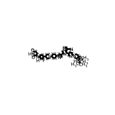 CCC1(C(=O)NC(C)(C)C)CCN(c2ccc(-c3nc(-c4cnn(C5CCC(N6CCC(c7ccc(N[C@@H]8CCC(=O)NC8=O)cc7F)CC6)CC5)c4)cn4ncc(C#N)c34)cn2)CC1